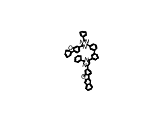 c1ccc(-c2nc(-c3cccc(-c4cccc(-c5nc(-c6ccccc6)nc(-c6ccc7c(c6)oc6ccccc67)n5)c4)c3)cc(-c3ccc4c(c3)oc3cc5ccccc5cc34)n2)cc1